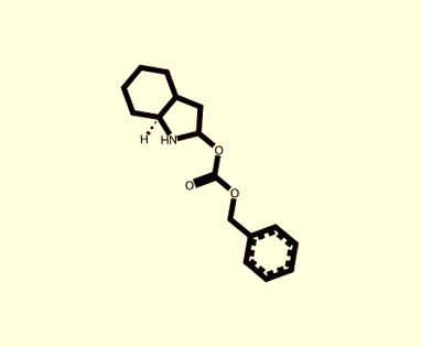 O=C(OCc1ccccc1)OC1CC2CCCC[C@@H]2N1